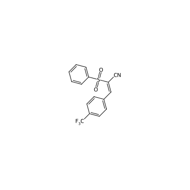 N#C/C(=C/c1ccc(C(F)(F)F)cc1)S(=O)(=O)c1ccccc1